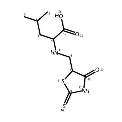 CC(C)CC(NCC1SC(=S)NC1=O)C(=O)O